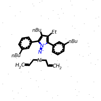 C=C[CH2][Ni][CH2]C=C.CCCCC1=C(c2cccc(CCCC)c2)[N+](=[N-])C(c2cccc(CCCC)c2)=C1CC